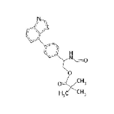 CC(C)(C)C(=O)OCC(NC=O)c1ccc(-c2cccc3ncsc23)cc1